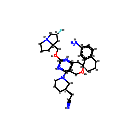 N#CC[C@H]1CCCN(c2nc(OC[C@@]34CCCN3C[C@H](F)C4)nc3c2CO[C@@]2(CCCc4ccc(N)cc42)C3)C1